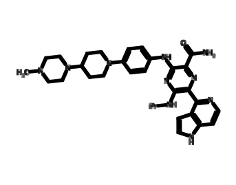 CC(C)Nc1nc(Nc2ccc(N3CCC(N4CCN(C)CC4)CC3)cc2)c(C(N)=O)nc1-c1nccc2[nH]ccc12